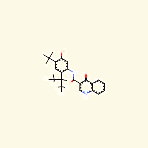 [2H]C([2H])([2H])C(C)(c1cc(C(C)(C)C)c(O)cc1NC(=O)c1c[nH]c2ccccc2c1=O)C([2H])([2H])[2H]